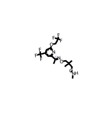 CNOCC(C)(C)CO/N=C(\C)c1cc(C(F)(F)F)cc(OCC(F)(F)F)n1